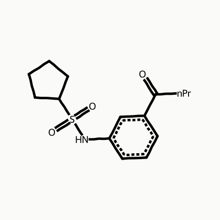 CCCC(=O)c1cccc(NS(=O)(=O)C2CCCC2)c1